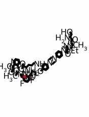 CC[C@@H]([C@H](C)OC(=O)[C@@H](N)CO)n1ncn(-c2ccc(N3CCN(c4ccc(OC[C@@H]5CO[C@@](Cn6c[n+](C(C)OC(=O)N(C)c7ncccc7COC(=O)[C@@H](N)CCCN)cn6)(c6ccc(F)cc6F)C5)cc4)CC3)cc2)c1=O